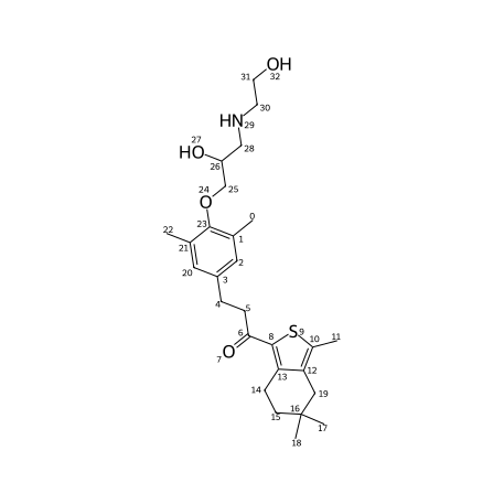 Cc1cc(CCC(=O)c2sc(C)c3c2CCC(C)(C)C3)cc(C)c1OCC(O)CNCCO